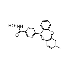 Cc1ccc2c(c1)Oc1ccccc1C(c1ccc(C(=O)NO)cc1)=N2